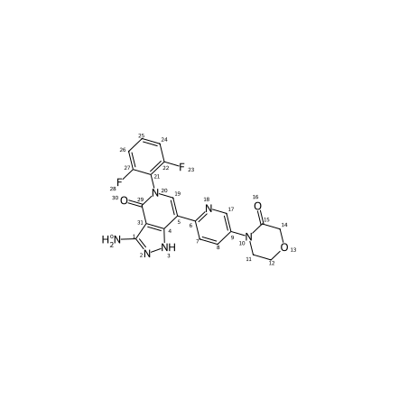 Nc1n[nH]c2c(-c3ccc(N4CCOCC4=O)cn3)cn(-c3c(F)cccc3F)c(=O)c12